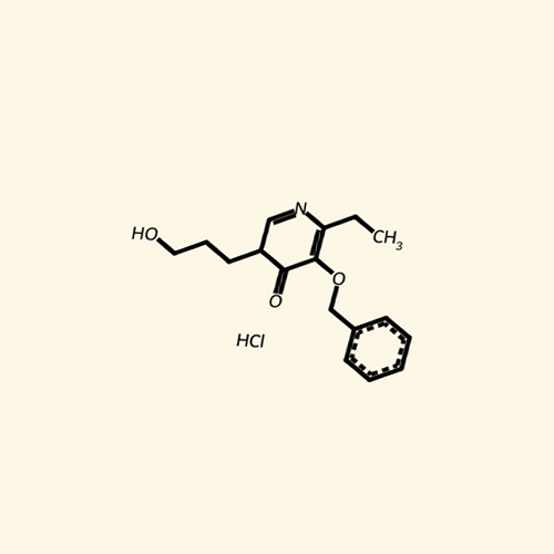 CCC1=C(OCc2ccccc2)C(=O)C(CCCO)C=N1.Cl